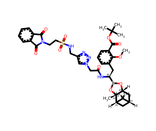 COc1c(C[C@H](NC(=O)Cn2cc(CNS(=O)(=O)CCN3C(=O)c4ccccc4C3=O)nn2)B2O[C@@H]3C[C@@H]4C[C@@H](C4(C)C)[C@]3(C)O2)cccc1C(=O)OC(C)(C)C